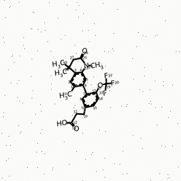 Cc1cc2c(cc1-c1cc(CCC(=O)O)ccc1OC(F)(F)F)N(C)C(=O)CC2(C)C